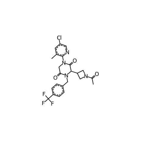 CC(=O)N1CC(C2C(=O)N(c3ncc(Cl)cc3C)CC(=O)N2Cc2ccc(C(F)(F)F)cc2)C1